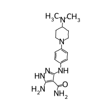 CN(C)C1CCN(c2ccc(Nc3n[nH]c(N)c3C(N)=O)cc2)CC1